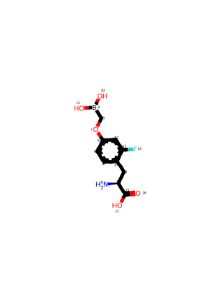 N[C@@H](Cc1ccc(OCB(O)O)cc1F)C(=O)O